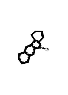 N#Cn1c2c(c3cc4ccccc4cc31)CCC=C2